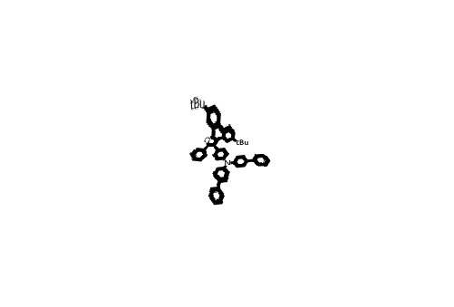 CC(C)(C)c1ccc2c3ccc(C(C)(C)C)cc3c3c(-c4ccc(N(c5ccc(-c6ccccc6)cc5)c5ccc(-c6ccccc6)cc5)cc4)c(-c4ccccc4)oc3c2c1